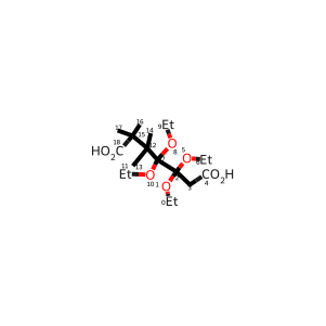 CCOC(CC(=O)O)(OCC)C(OCC)(OCC)C(C)(C)C(C)(C)C(=O)O